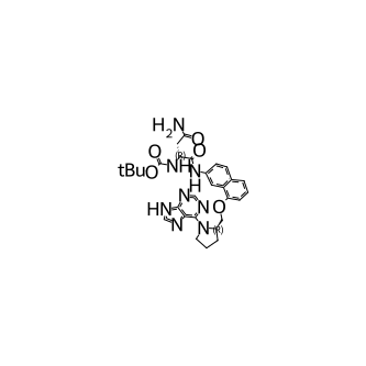 CC(C)(C)OC(=O)N[C@H](CC(N)=O)C(=O)Nc1ccc2cccc(OC[C@H]3CCCN3c3ncnc4[nH]cnc34)c2c1